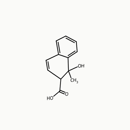 CC1(O)c2ccccc2C=CC1C(=O)O